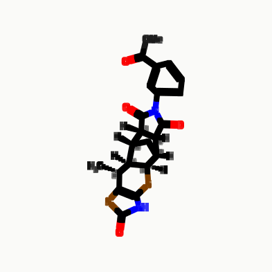 COC(=O)c1cccc(N2C(=O)[C@@H]3[C@H]4C[C@@H]([C@@H]3C2=O)[C@H]2[C@@H]4Sc3[nH]c(=O)sc3[C@@H]2C)c1